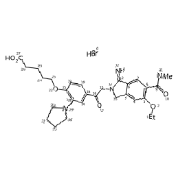 Br.CCOc1cc2c(cc1C(=O)NC)C(=N)N(CC(=O)c1ccc(OCCCCC(=O)O)c(N3CCCC3)c1)C2